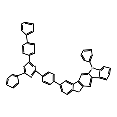 c1ccc(-c2ccc(-c3nc(-c4ccccc4)nc(-c4ccc(-c5ccc6oc7cc8c9ccccc9n(-c9ccccc9)c8cc7c6c5)cc4)n3)cc2)cc1